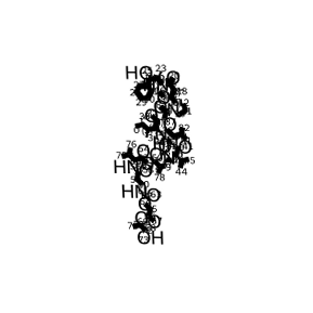 CC[C@H](C)[C@@H]([C@@H](CC(=O)N1CCC[C@H]1[C@H](OC)[C@@H](C)C(=O)N[C@H](C)[C@@H](O)c1ccccc1)OC)N(C)C(=O)[C@@H](NC(=O)[C@H](C(C)C)N(C)C(=O)OC(OC(=O)[C@@H](NC(=O)CCNC(=O)OCC(OC)OC(C)CO)C(C)C)C(C)C)C(C)C